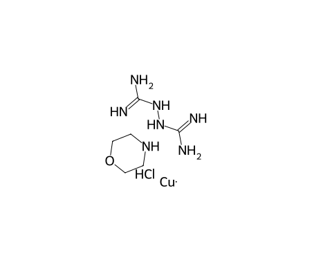 C1COCCN1.Cl.N=C(N)NNC(=N)N.[Cu]